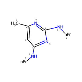 CCCNc1cc(C)nc(NCCC)n1